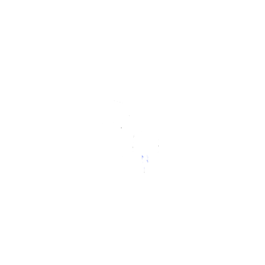 C=C(C(C)N(C)C(C)C)C(C)(CC(C)C)C(C)C